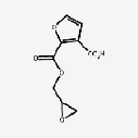 O=C(O)c1ccoc1C(=O)OCC1CO1